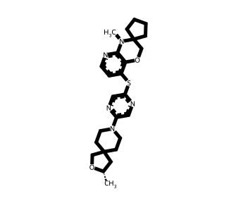 C[C@H]1CC2(CCN(c3cnc(Sc4ccnc5c4OCC4(CCCC4)N5C)cn3)CC2)CO1